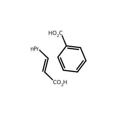 CCCC=CC(=O)O.O=C(O)c1ccccc1